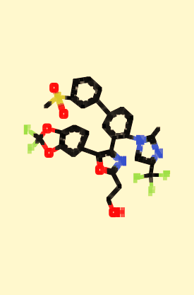 Cc1nc(C(F)(F)F)cn1-c1ccc(-c2cccc(S(C)(=O)=O)c2)cc1-c1nc(CCO)oc1-c1ccc2c(c1)OC(F)(F)O2